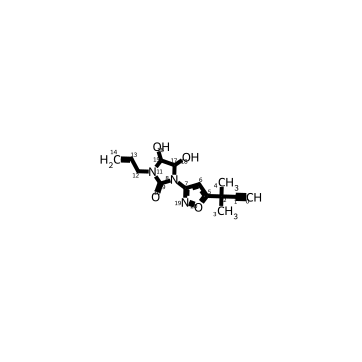 C#CC(C)(C)c1cc(N2C(=O)N(CC=C)C(O)C2O)no1